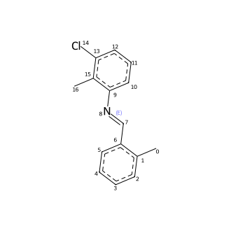 Cc1ccccc1/C=N/c1cccc(Cl)c1C